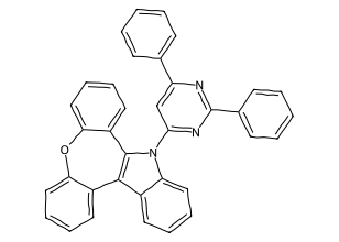 c1ccc(-c2cc(-n3c4c(c5ccccc53)-c3ccccc3Oc3ccccc3-4)nc(-c3ccccc3)n2)cc1